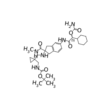 CNC(=O)C1(NCC2(CNC(=O)OC(C)(C)C)CC2)Cc2ccc(NC(=O)[C@@H](OC(N)=O)C3CCCCC3)cc2C1